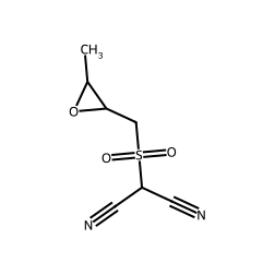 CC1OC1CS(=O)(=O)C(C#N)C#N